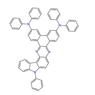 c1ccc(N(c2ccccc2)c2ccc3c(c2)c2cc(N(c4ccccc4)c4ccccc4)ccc2c2nc4c(ccc5c4c4ccccc4n5-c4ccccc4)nc32)cc1